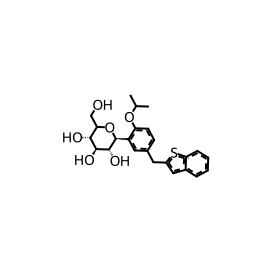 CC(C)Oc1ccc(Cc2cc3ccccc3s2)cc1[C@@H]1OC(CO)[C@@H](O)[C@H](O)[C@H]1O